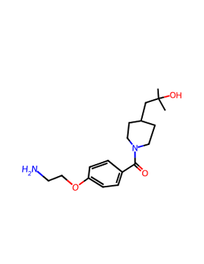 CC(C)(O)CC1CCN(C(=O)c2ccc(OCCN)cc2)CC1